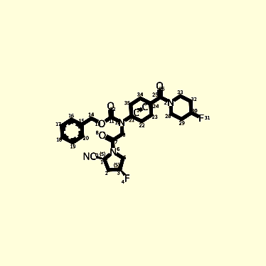 N#C[C@@H]1C[C@H](F)CN1C(=O)CN(C(=O)OCc1ccccc1)C12CCC(C(=O)N3CCC(F)CC3)(CC1)CC2